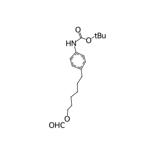 CC(C)(C)OC(=O)Nc1ccc(CCCCCCOC=O)cc1